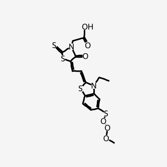 CCN1/C(=C/C=C2/SC(=S)N(CC(=O)O)C2=O)Sc2ccc(SOOOC)cc21